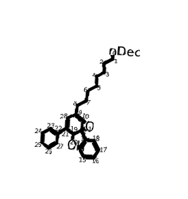 CCCCCCCCCCCCCCCCCCC1=C2OC2(c2ccccc2)C(O)C(c2ccccc2)=C1